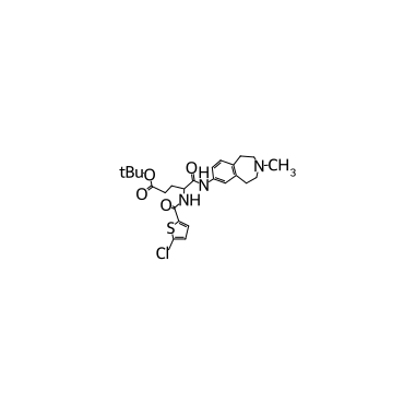 CN1CCc2ccc(NC(=O)C(CCC(=O)OC(C)(C)C)NC(=O)c3ccc(Cl)s3)cc2CC1